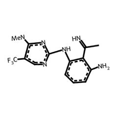 CNc1nc(Nc2cccc(N)c2C(C)=N)ncc1C(F)(F)F